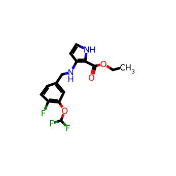 CCOC(=O)c1[nH]ccc1NCc1ccc(F)c(OC(F)F)c1